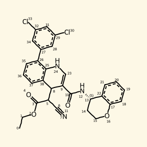 CCOC(=O)C(C#N)C1C(C(=O)N[C@H]2CCOc3ccccc32)=CNc2c(-c3cc(Cl)cc(Cl)c3)cccc21